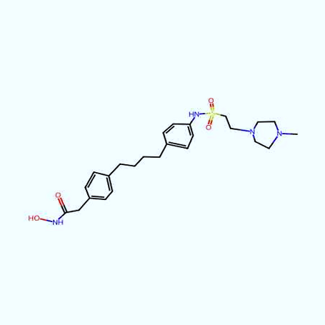 CN1CCN(CCS(=O)(=O)Nc2ccc(CCCCc3ccc(CC(=O)NO)cc3)cc2)CC1